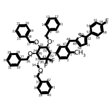 Cc1ccc([C@H]2[C@H](OCc3ccccc3)[C@@H](OCc3ccccc3)[C@H](OCc3ccccc3)[C@@H](COCc3ccccc3)C2(F)F)cc1Cc1ccc(-c2ccc(F)cc2)s1